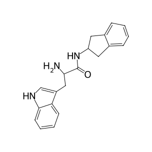 NC(Cc1c[nH]c2ccccc12)C(=O)NC1Cc2ccccc2C1